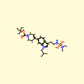 CC(C)Cn1cc(CCNS(=O)(=O)N(C)C)c2ccc(C3=CCN(C(=O)OC(C)(C)C)CC3)cc21